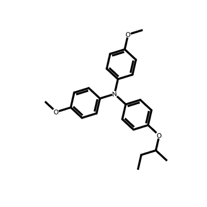 CCC(C)Oc1ccc(N(c2ccc(OC)cc2)c2ccc(OC)cc2)cc1